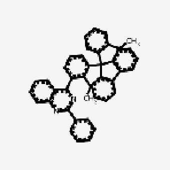 CCc1ccccc1C1(c2cccc(-c3nc(-c4ccccc4)nc4ccccc34)c2CC)c2ccccc2-c2ccccc21